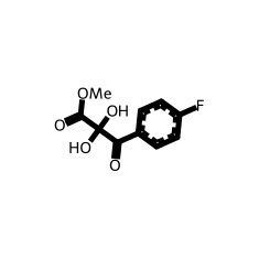 COC(=O)C(O)(O)C(=O)c1ccc(F)cc1